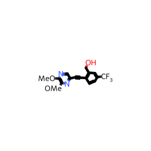 COc1ncc(C#Cc2ccc(C(F)(F)F)cc2CO)nc1OC